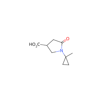 CC1(N2CC(C(=O)O)CC2=O)CC1